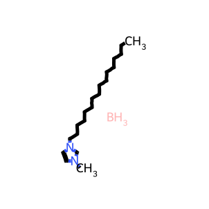 B.CCCCCCCCCCCCCCCCN1C=CN(C)C1